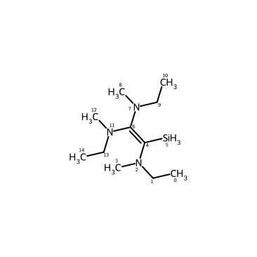 CCN(C)C([SiH3])=C(N(C)CC)N(C)CC